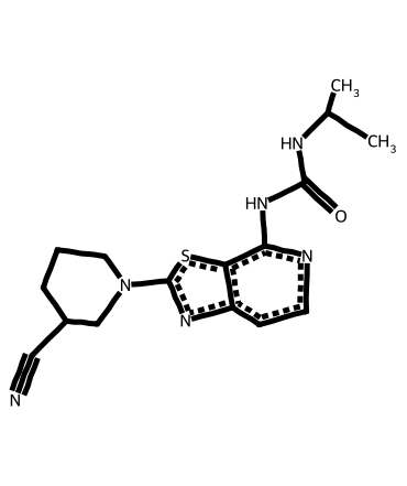 CC(C)NC(=O)Nc1nccc2nc(N3CCCC(C#N)C3)sc12